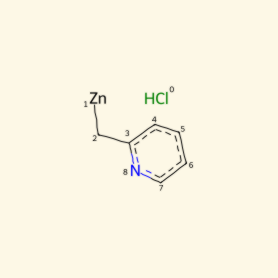 Cl.[Zn][CH2]c1ccccn1